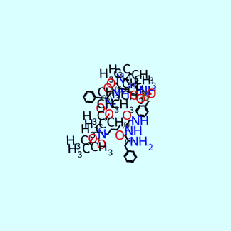 C/C(=C\[C@H](C(C)C)N(C)C(=O)[C@@H](NC(=O)[C@@H](N(C)C(=O)OC(C)(C)C)C(C)(C)c1ccccc1)C(C)(C)C)C(=O)NS(=O)(=O)Cc1ccc(NC(=O)[C@@H](CCCCN(C)C(=O)OC(C)(C)C)NC(=O)[C@H](N)Cc2ccccc2)cc1